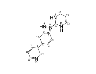 C1=CC(C2C=Cc3c([nH]n3C3NC=CCN3)C2)CN=C1